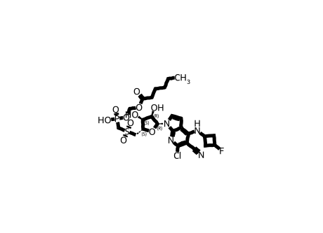 CCCCCC(=O)OCOP(=O)(O)CS(=O)(=O)C[C@H]1O[C@@H](n2ccc3c(NC4CC(F)C4)c(C#N)c(Cl)nc32)[C@H](O)[C@@H]1O